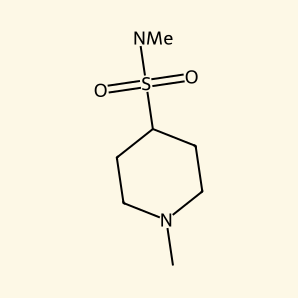 CNS(=O)(=O)C1CCN(C)CC1